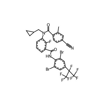 Cc1cc(C#N)ccc1C(=O)N(CC1CC1)c1cccc(C(=O)Nc2c(Br)cc(C(F)(C(F)(F)F)C(F)(F)F)cc2Br)c1F